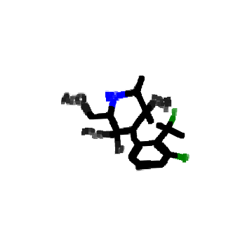 CCC1(C(=O)O)C(COC(C)=O)NC(C)C(C)(C(=O)O)C1c1cccc(F)c1C(C)(C)F